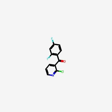 O=C(c1ccc(F)cc1F)c1cccnc1Cl